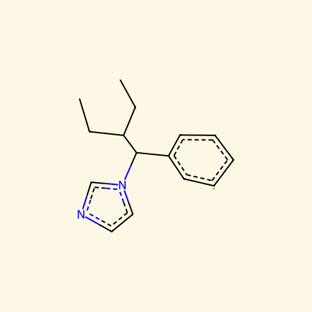 CCC(CC)C(c1c[c]ccc1)n1ccnc1